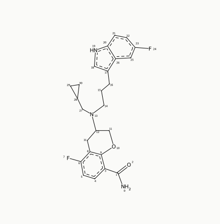 NC(=O)c1ccc(F)c2c1OCC(N(CCCc1c[nH]c3ccc(F)cc13)CC1CC1)C2